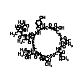 CNC(=O)[C@H]1CSSC[C@@H](NC(C)=O)C(=O)N[C@@H](C(=O)NCC(C)(O)NC)CCSC[C@@H](NC(=O)[C@@H](C)NC(=O)[C@H](NC(O)C(N)=O)C(C)C)C(=O)N[C@H](Cc2ccc(O)cc2)C(=O)NCC(=O)N[C@H](C(=O)O)CSSC[C@H](NC(C)=O)C(=O)N1